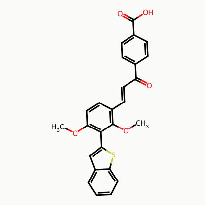 COc1ccc(/C=C/C(=O)c2ccc(C(=O)O)cc2)c(OC)c1-c1cc2ccccc2s1